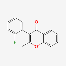 Cc1oc2ccccc2c(=O)c1-c1ccccc1F